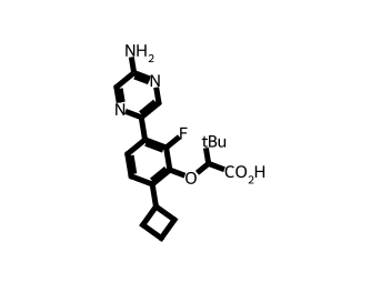 CC(C)(C)C(Oc1c(C2CCC2)ccc(-c2cnc(N)cn2)c1F)C(=O)O